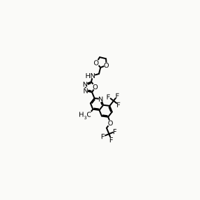 Cc1cc(-c2nnc(NCC3OCCO3)o2)nc2c(C(F)(F)F)cc(OCC(F)(F)F)cc12